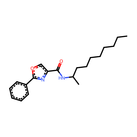 CCCCCCCCC(C)NC(=O)c1coc(-c2ccccc2)n1